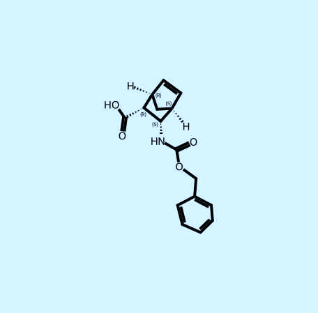 O=C(N[C@@H]1[C@H](C(=O)O)[C@H]2C=C[C@@H]1C2)OCc1ccccc1